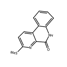 CSc1ccc2c(n1)c(=O)[nH]c1ccccc12